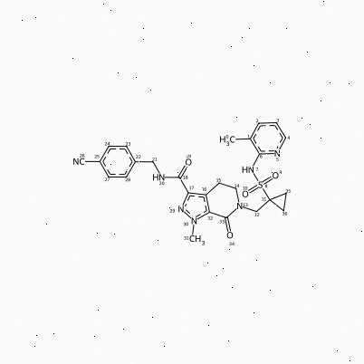 Cc1cccnc1NS(=O)(=O)C1(CN2CCc3c(C(=O)NCc4ccc(C#N)cc4)nn(C)c3C2=O)CC1